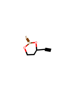 C#CC1CCOS(=S)O1